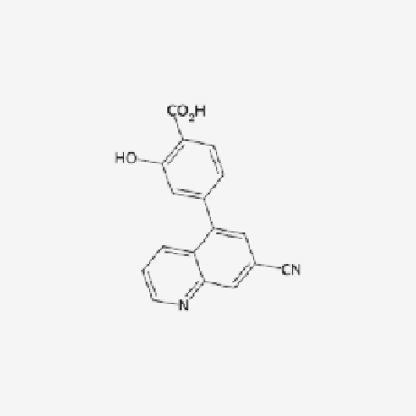 N#Cc1cc(-c2ccc(C(=O)O)c(O)c2)c2cccnc2c1